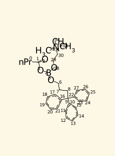 CCCC(=O)OB(OCCCC(c1ccccc1)(c1ccccc1)c1ccccc1)OCC[N+](C)(C)C